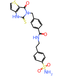 NS(=O)(=O)c1ccc(CCNC(=O)c2ccc(Cn3c(=S)[nH]c4ccsc4c3=O)cc2)cc1